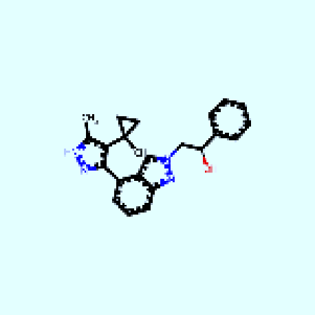 Cc1[nH]nc(-c2cccc3nn(C[C@H](O)c4ccccc4)cc23)c1C1(C)CC1